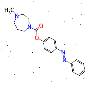 CN1CCCN(C(=O)Oc2ccc(N=Nc3ccccc3)cc2)CC1